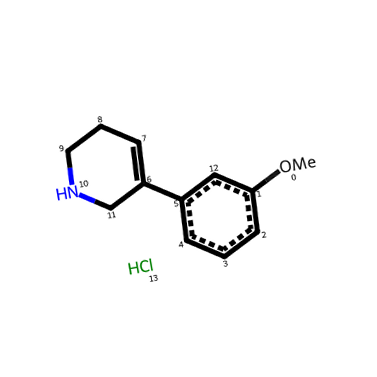 COc1cccc(C2=CCCNC2)c1.Cl